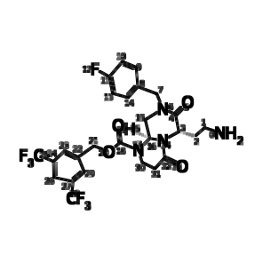 NCC[C@H]1C(=O)N(Cc2ccc(F)cc2)C[C@@H]2N(C(=O)OCc3cc(C(F)(F)F)cc(C(F)(F)F)c3)CCC(=O)N21